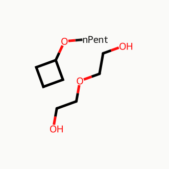 CCCCCOC1CCC1.OCCOCCO